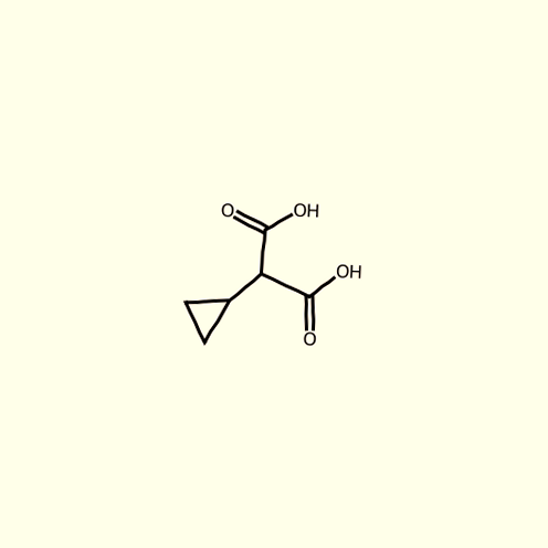 O=C(O)C(C(=O)O)C1CC1